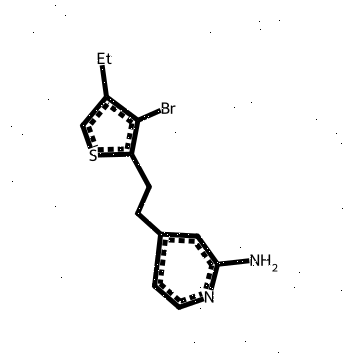 CCc1csc(CCc2ccnc(N)c2)c1Br